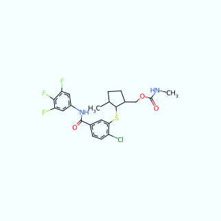 CNC(=O)OCC1CCC(C)C1Sc1cc(C(=O)Nc2cc(F)c(F)c(F)c2)ccc1Cl